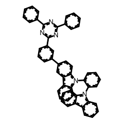 c1ccc(-c2nc(-c3ccccc3)nc(-c3cccc(-c4ccc5c(c4)c4ccccc4n5-c4ccccc4-n4c5ccccc5c5ccccc54)c3)n2)cc1